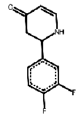 O=C1C=CNC(c2ccc(F)c(F)c2)C1